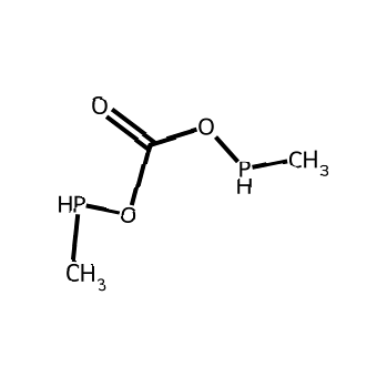 CPOC(=O)OPC